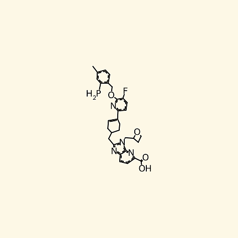 Cc1ccc(COc2nc(C3=CCC(Cc4nc5ccc(C(=O)O)nc5n4CC4CCO4)CC3)ccc2F)c(P)c1